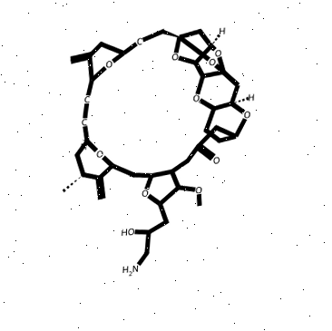 C=C1CC2CC[C@@]34C[C@H]5OC6C(OC7CCC(CC(=O)CC8C(CC9O[C@@H](CCC1O2)C[C@@H](C)C9=C)OC(CC(O)CN)C8OC)O[C@@H]7C6O3)C5O4